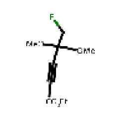 CCOC(=O)C#CC(CF)(OC)OC